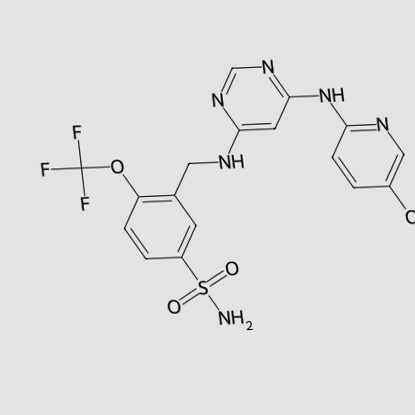 NS(=O)(=O)c1ccc(OC(F)(F)F)c(CNc2cc(Nc3ccc(Cl)cn3)ncn2)c1